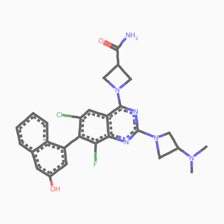 CN(C)C1CN(c2nc(N3CC(C(N)=O)C3)c3cc(Cl)c(-c4cc(O)cc5ccccc45)c(F)c3n2)C1